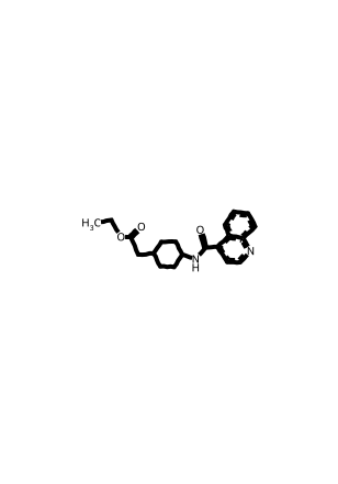 CCOC(=O)CC1CCC(NC(=O)c2ccnc3ccccc23)CC1